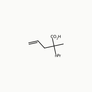 C=CCC(C)(CCC)C(=O)O